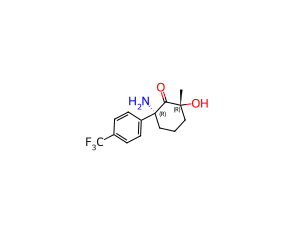 C[C@@]1(O)CCC[C@@](N)(c2ccc(C(F)(F)F)cc2)C1=O